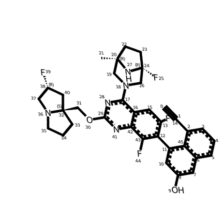 C#Cc1cccc2cc(O)cc(-c3c(F)cc4c(N5C[C@@]6(C)CC[C@@](F)(C5)N6)nc(OC[C@@]56CCCN5C[C@H](F)C6)nc4c3F)c12